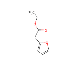 [CH2]COC(=O)Cc1ccco1